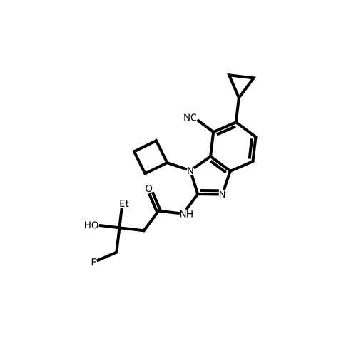 CCC(O)(CF)CC(=O)Nc1nc2ccc(C3CC3)c(C#N)c2n1C1CCC1